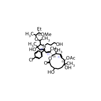 CC[C@H](OC)C(C)OC(C)C(N(CCCO)Cc1ccc(Cl)cc1)C(C)(O)/C=C/C=C(\C)[C@H]1OC(=O)CC(O)CCC(C)(O)[C@@H](OC(C)=O)/C=C/C1C